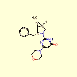 C[C@H]1C2[C@H]1CN(c1nc(N3CCOCC3)cc(=O)[nH]1)[C@@H]2Cc1ccccc1